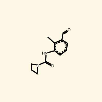 Cc1c(C=O)cccc1NC(=O)N1CCC1